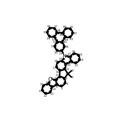 CC1(C)c2ccc3c(oc4ccccc43)c2-c2ccc3c(c21)c1ccccc1n3-c1ccc2c3ccccc3c3ccccc3c2c1